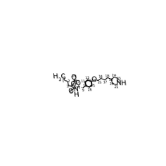 CCCCS(=O)(=O)N[C@@H](Cc1ccc(OCCCCC2CCNCC2)cc1)OC=O